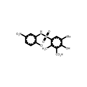 Cc1c(S(=O)(=O)Nc2cc([N+](=O)[O-])ccc2Cl)cc(C(C)(C)C)c(O)c1C(=O)O